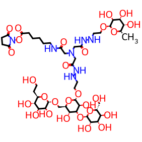 C[C@@H]1O[C@@H](OCCNNC(=O)CN(CC(=O)NCCCCCC(=O)ON2C(=O)CCC2=O)CC(=O)NNCCO[C@H]2O[C@H](CO[C@H]3O[C@H](CCO)[C@@H](O)[C@H](O)[C@@H]3O)[C@@H](O)[C@H](O[C@H]3O[C@H](CO)[C@@H](O)[C@H](O)[C@@H]3O)[C@@H]2O)[C@@H](O)[C@H](O)[C@@H]1O